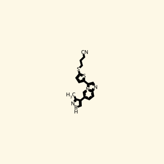 CC1=NBC=C1c1ccc2ncc(-c3ccc(SCCCC#N)s3)n2c1